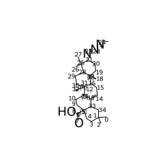 CC1(C)CC[C@]2(C(=O)O)CC[C@]3(C)C(=CCC4[C@@]5(C)CCC(N=[N+]=[N-])C(C)(C)C5CC[C@]43C)C2C1